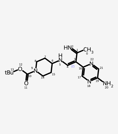 CC(=N)/C(=C\NC1CCN(C(=O)OC(C)(C)C)CC1)c1cnc(N)cn1